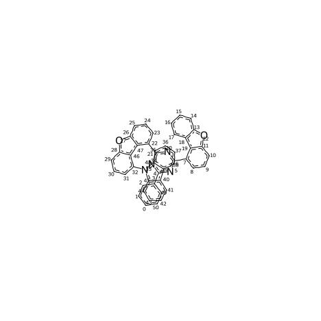 c1ccc(-c2nc(-c3cccc4oc5ccccc5c34)nc(-c3cccc4oc5cccc(-n6c7ccccc7c7ccccc76)c5c34)n2)cc1